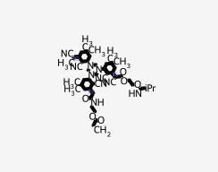 C=CC(=O)OCCNC(=O)/C=C1\CC(C)(C)CC(N2CN(C3=C(C#N)/C(=C(\C#N)C(=O)OCCOC(=N)C(C)C)CC(C)(C)C3)CN(C3CC(C)(C)C/C(=C(/C)C#N)C3C#N)C2)C1C#N